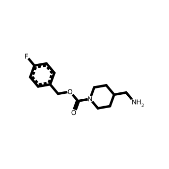 NCC1CCN(C(=O)OCc2ccc(F)cc2)CC1